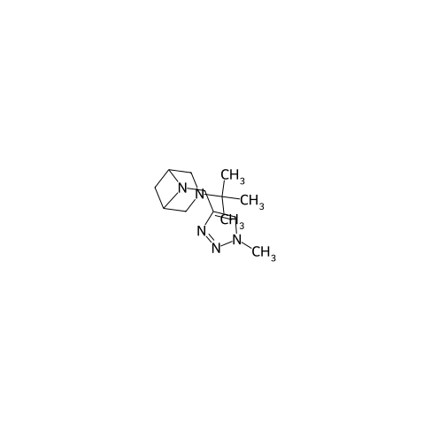 Cn1cc(CN2C3CC2CN(C(C)(C)C)C3)nn1